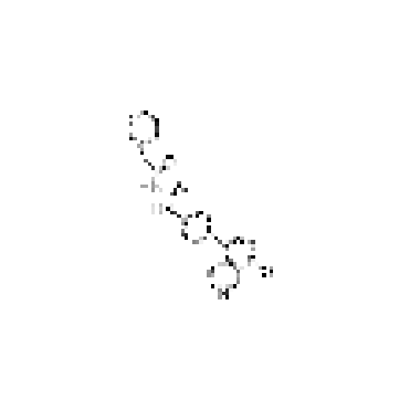 COc1ccc(-c2ccc(NC(=O)NC(=O)Cc3ccccc3)cc2)c2ccncc12